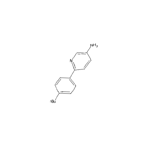 CCCCc1ccc(-c2ccc(N)cn2)cc1